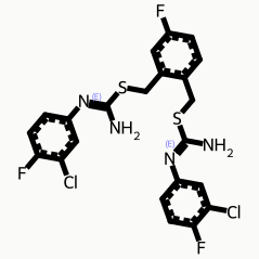 N/C(=N\c1ccc(F)c(Cl)c1)SCc1ccc(F)cc1CS/C(N)=N/c1ccc(F)c(Cl)c1